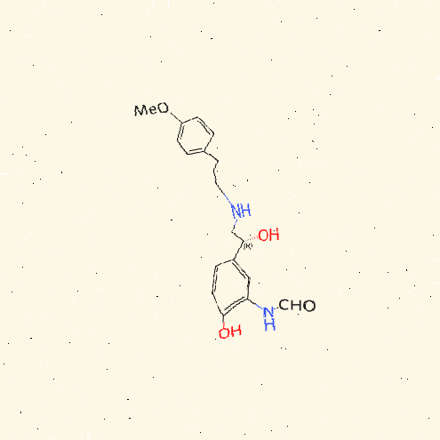 COc1ccc(CCNC[C@H](O)c2ccc(O)c(NC=O)c2)cc1